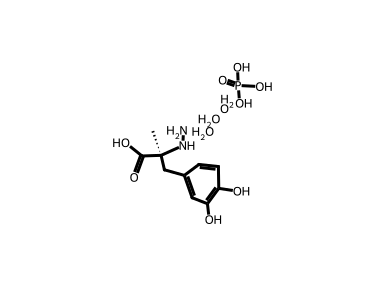 C[C@@](Cc1ccc(O)c(O)c1)(NN)C(=O)O.O.O.O.O=P(O)(O)O